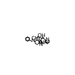 CN(Cc1ccccc1)C1CCc2n[nH]c(C3(C(=O)O)CC3c3ccccn3)c2C1